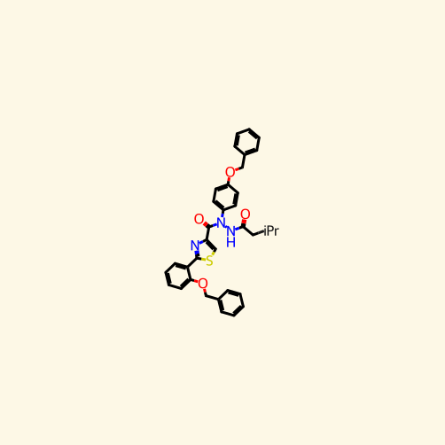 CC(C)CC(=O)NN(C(=O)c1csc(-c2ccccc2OCc2ccccc2)n1)c1ccc(OCc2ccccc2)cc1